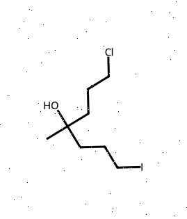 CC(O)(CCCCl)CCCI